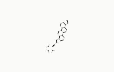 CC(C)[Si](C#Cc1cc2c(ccc3c2ccc2c4ccc5occc5c4ccc32)o1)(C(C)C)C(C)C